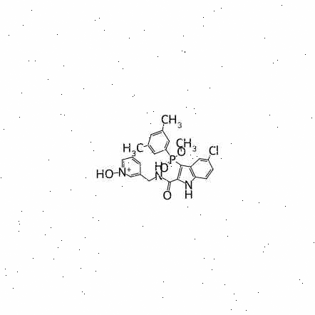 COP(=O)(c1cc(C)cc(C)c1)c1c(C(=O)NCc2ccc[n+](O)c2)[nH]c2ccc(Cl)cc12